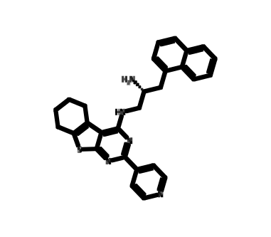 N[C@@H](CNc1nc(-c2ccncc2)nc2sc3c(c12)CCCC3)Cc1cccc2ccccc12